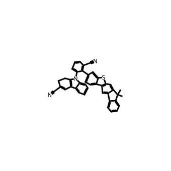 CC1(C)c2ccccc2-c2cc3c(cc21)sc1cc(-c2c(C#N)cccc2-n2c4c(c5ccccc52)C=C(C#N)CC4)ccc13